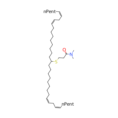 CCCCC/C=C\C/C=C\CCCCCCCCC(CCCCCCCC/C=C\C/C=C\CCCCC)SCCC(=O)N(C)C